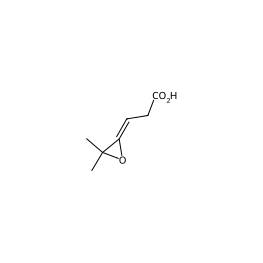 CC1(C)OC1=CCC(=O)O